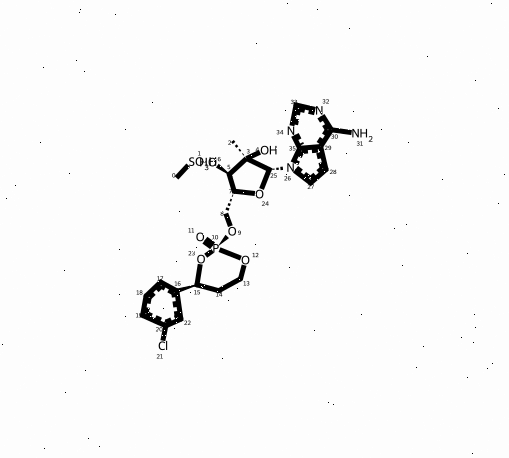 CS(=O)(=O)O.C[C@@]1(O)[C@H](O)[C@@H](CO[P@@]2(=O)OCC[C@@H](c3cccc(Cl)c3)O2)O[C@H]1n1ccc2c(N)ncnc21